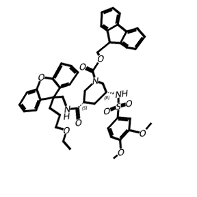 CCOCCCC1(CNC(=O)[C@H]2C[C@@H](NS(=O)(=O)c3ccc(OC)c(OC)c3)CN(C(=O)OCC3c4ccccc4-c4ccccc43)C2)c2ccccc2Oc2ccccc21